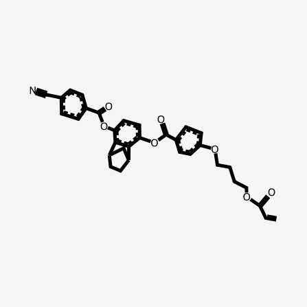 C=CC(=O)OCCCCOc1ccc(C(=O)Oc2ccc(OC(=O)c3ccc(C#N)cc3)c3c2C2CCC3C2)cc1